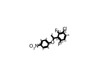 CC(Oc1ccc([N+](=O)[O-])cc1)c1c(F)ccc(Cl)c1F